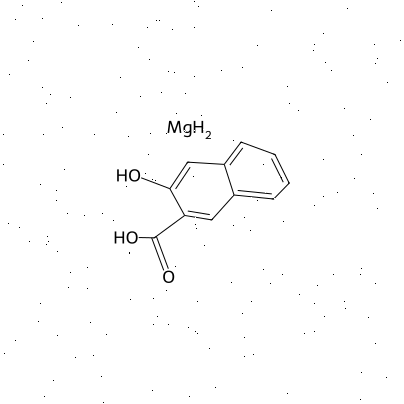 O=C(O)c1cc2ccccc2cc1O.[MgH2]